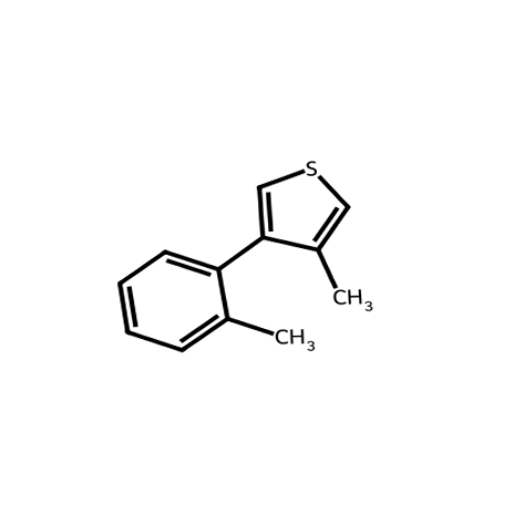 Cc1ccccc1-c1cscc1C